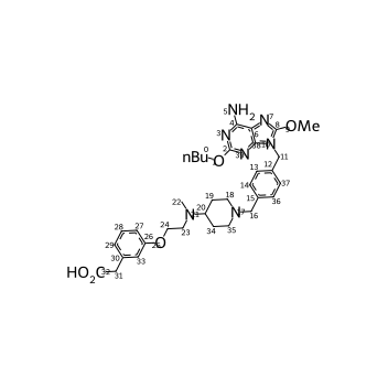 CCCCOc1nc(N)c2nc(OC)n(Cc3ccc(CN4CCC(N(C)CCOc5cccc(CC(=O)O)c5)CC4)cc3)c2n1